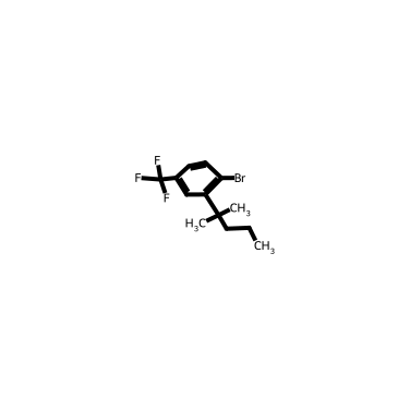 CCCC(C)(C)c1cc(C(F)(F)F)ccc1Br